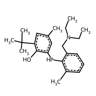 CCN(CC)Cc1cccc(C)c1Pc1cc(C)cc(C(C)(C)C)c1O